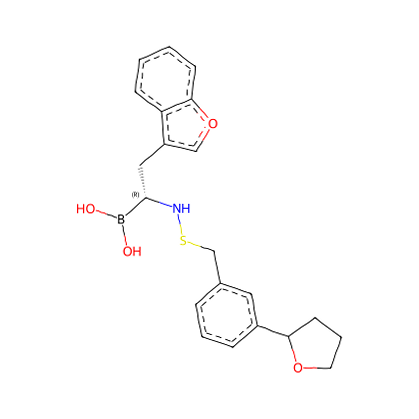 OB(O)[C@H](Cc1coc2ccccc12)NSCc1cccc(C2CCCO2)c1